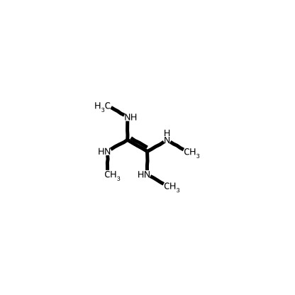 CNC(NC)=C(NC)NC